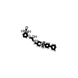 O=c1[nH]c2cccc(OC[C@@H](O)CNCC3CCN(S(=O)(=O)c4ccc(-c5ccccc5)cc4)CC3)c2[nH]1